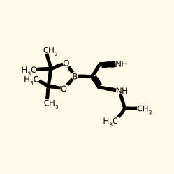 CC(C)N/C=C(\C=N)B1OC(C)(C)C(C)(C)O1